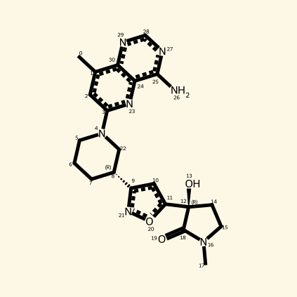 Cc1cc(N2CCC[C@@H](c3cc([C@]4(O)CCN(C)C4=O)on3)C2)nc2c(N)ncnc12